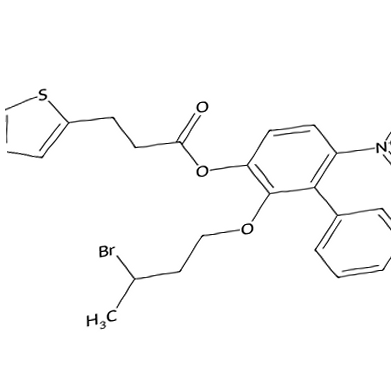 CC(Br)CCOc1c(OC(=O)CCc2cncs2)ccc([N+](=O)[O-])c1-c1ccccc1